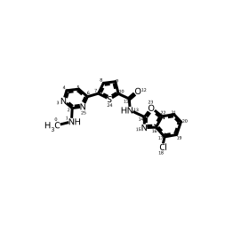 CNc1nccc(-c2ccc(C(=O)Nc3nc4c(Cl)cccc4o3)s2)n1